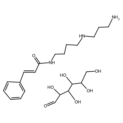 NCCCNCCCCNC(=O)C=Cc1ccccc1.O=CC(O)C(O)C(O)C(O)CO